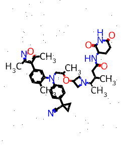 Cc1ccc(-c2c(C)noc2C)cc1N(CC(C)OC1CN([C@H](C)C(C)CC(=O)NC2CCC(=O)NC2=O)C1)c1ccc(C2(C#N)CC2)cc1